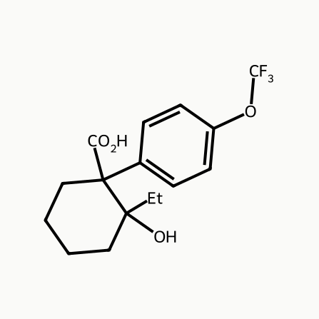 CCC1(O)CCCCC1(C(=O)O)c1ccc(OC(F)(F)F)cc1